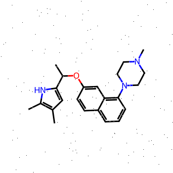 Cc1cc(C(C)Oc2ccc3cccc(N4CCN(C)CC4)c3c2)[nH]c1C